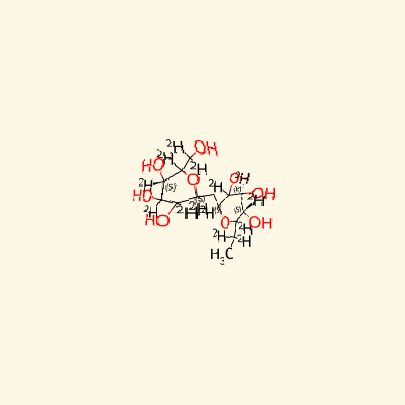 [2H]C([2H])(C)C1([2H])O[C@@]([2H])(C[C@]2([2H])OC([2H])(C([2H])([2H])O)[C@@]([2H])(O)C([2H])(O)C2([2H])O)C([2H])(O)[C@@]([2H])(O)[C@]1([2H])O